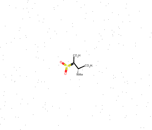 CN[C@@H](C(=O)O)C(C(=O)O)=S(=O)=O